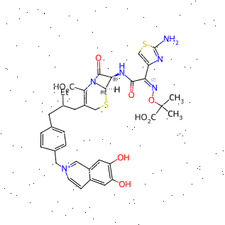 CCC(CC1=C(C(=O)O)N2C(=O)[C@@H](NC(=O)/C(=N\OC(C)(C)C(=O)O)c3csc(N)n3)[C@H]2SC1)Cc1ccc(C[n+]2ccc3cc(O)c(O)cc3c2)cc1